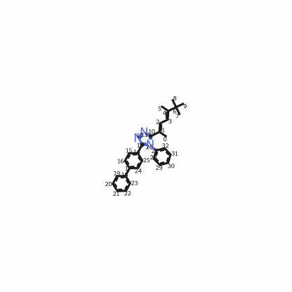 C/C(=C\C=C(/C)C(C)(C)C)c1nnc(-c2ccc(-c3ccccc3)cc2)n1-c1ccccc1